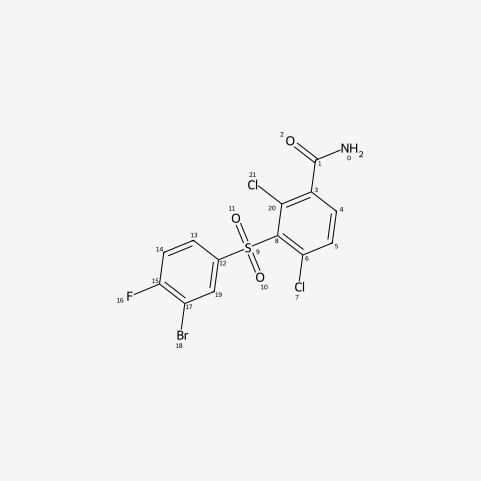 NC(=O)c1ccc(Cl)c(S(=O)(=O)c2ccc(F)c(Br)c2)c1Cl